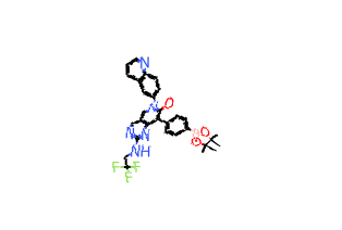 CC1(C)OB(c2ccc(-c3c(=O)n(-c4ccc5ncccc5c4)cc4cnc(NCC(F)(F)F)nc34)cc2)OC1(C)C